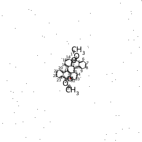 CCOC(=O)c1ccccc1-c1c2ccccc2c(-c2ccccc2C(=O)OCC)c2ccccc12